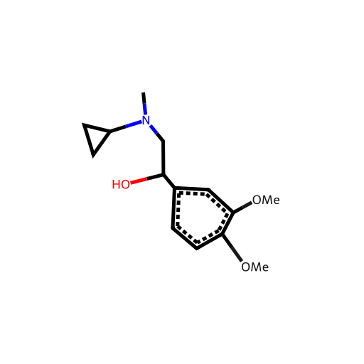 COc1ccc(C(O)CN(C)C2CC2)cc1OC